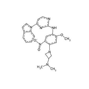 COc1cc(N2CC(N(C)C)C2)c([N+](=O)[O-])cc1Nc1nccc(-n2ccc3ccccc32)n1